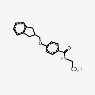 O=C(O)CNC(=O)c1ccc(OCC2Cc3ccccc3C2)cc1